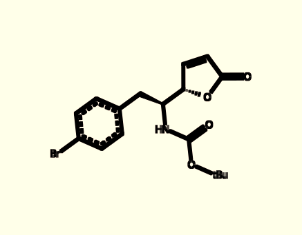 CC(C)(C)OC(=O)N[C@@H](Cc1ccc(Br)cc1)[C@@H]1C=CC(=O)O1